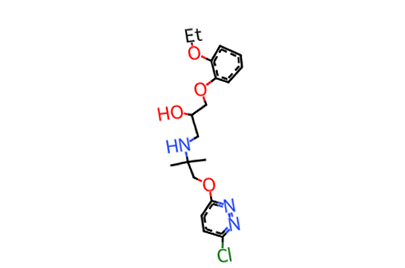 CCOc1ccccc1OCC(O)CNC(C)(C)COc1ccc(Cl)nn1